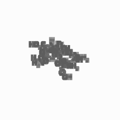 CC(C)[C@@H](NC(=O)[C@@H]([C@@H](C)O)N1C[C@@H](NC(=O)[C@@H](Cc2ccc(O)cc2)NC(=O)[C@H](N)CCCNC(=N)N)CC1=O)C(=O)N[C@H](CCC(=O)O)C(=O)N[C@@H]1CC(C)N([C@H](C)C(N)=O)C1=O